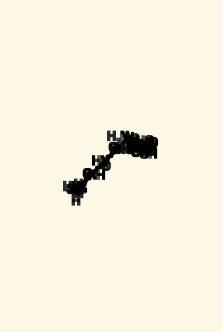 Nc1nc(=O)n([C@@H]2O[C@H](COP(=O)(O)OP(=O)(O)OP(=O)(O)O)C(O)C2O)cc1/C=C/CNC(=O)CCCCCNC(=O)CCCCCNC(=O)CCCC[C@H]1SC[C@H]2NC(=O)N[C@H]21